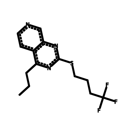 CCCc1nc(SCCCC(F)(F)F)nc2cnccc12